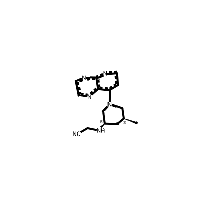 C[C@H]1C[C@@H](NCC#N)CN(c2ccnc3nccnc23)C1